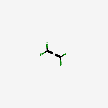 FC(F)=C=C(F)Cl